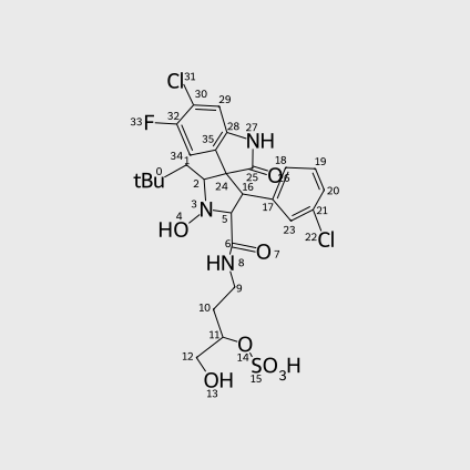 CC(C)(C)CC1N(O)C(C(=O)NCCC(CO)OS(=O)(=O)O)C(c2cccc(Cl)c2)C12C(=O)Nc1cc(Cl)c(F)cc12